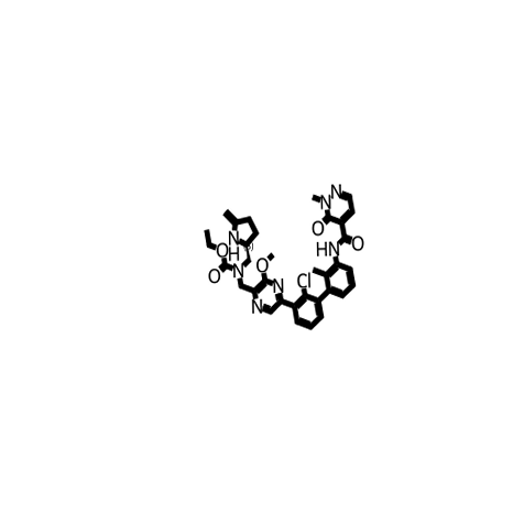 C=C1CC[C@@H](CN(Cc2ncc(-c3cccc(-c4cccc(NC(=O)c5ccnn(C)c5=O)c4C)c3Cl)nc2OC)C(=O)OCC)N1